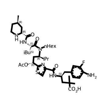 CCCCCCN(C(=O)[C@@H](NC(=O)[C@H]1C[C@H](C)CCN1)[C@@H](C)CC)[C@H](C[C@@H](OC(C)=O)c1nc(C(=O)N[C@@H](Cc2ccc(N)c(F)c2)CC(C)(C)C(=O)O)cs1)C(C)C